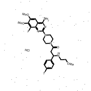 COCCNC(CC(=O)N1CCN(c2nc(N)c3cc(OC)c(OC)c(F)c3n2)CC1)c1ccc(F)cc1.Cl